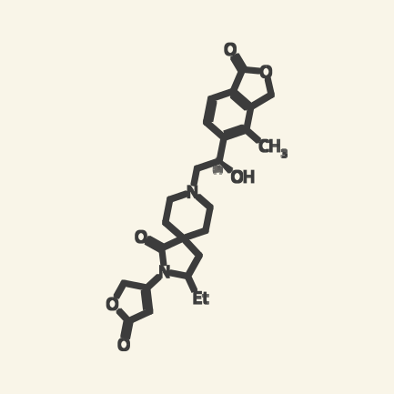 CCC1CC2(CCN(C[C@H](O)c3ccc4c(c3C)COC4=O)CC2)C(=O)N1C1=CC(=O)OC1